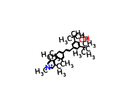 Cc1cc(/C=C/c2cc(C(C)(C)C)c(O)c(C(C)(C)C)c2)cc(C)c1-c1c(C)c[n+](C)cc1C